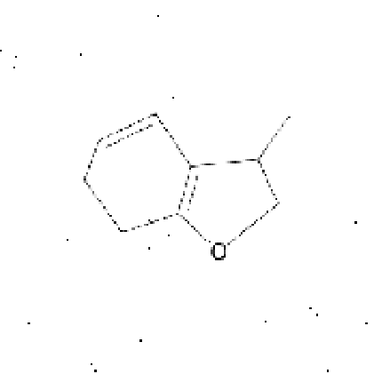 CC1COC2=C1C=CCC2